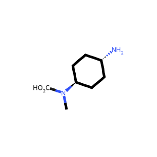 CN(C(=O)O)[C@H]1CC[C@H](N)CC1